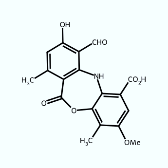 COc1cc(C(=O)O)c2c(c1C)OC(=O)c1c(C)cc(O)c(C=O)c1N2